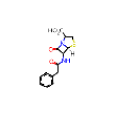 O=C(Cc1ccccc1)NC1C(=O)N2C(C(=O)O)CS[C@@H]12